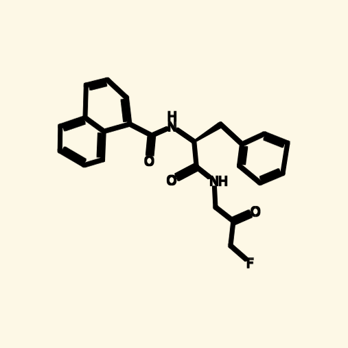 O=C(CF)CNC(=O)[C@H](Cc1ccccc1)NC(=O)c1cccc2ccccc12